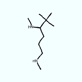 CNCCCC(NC)C(C)(C)C